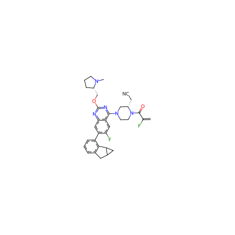 C=C(F)C(=O)N1CCN(c2nc(OC[C@@H]3CCCN3C)nc3cc(-c4cccc5c4C4CC4C5)c(F)cc23)C[C@@H]1CC#N